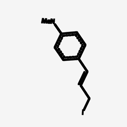 CNc1ccc(/C=C/CI)cc1